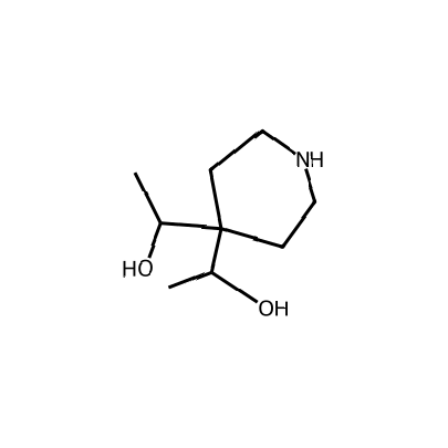 CC(O)C1(C(C)O)CCNCC1